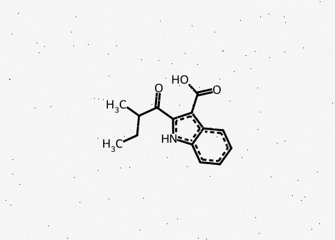 CCC(C)C(=O)c1[nH]c2ccccc2c1C(=O)O